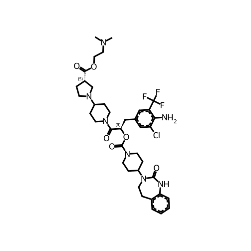 CN(C)CCOC(=O)[C@H]1CCN(C2CCN(C(=O)[C@@H](Cc3cc(Cl)c(N)c(C(F)(F)F)c3)OC(=O)N3CCC(N4CCc5ccccc5NC4=O)CC3)CC2)C1